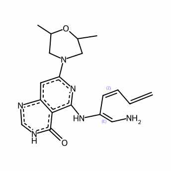 C=C/C=C\C(=C/N)Nc1nc(N2CC(C)OC(C)C2)cc2nc[nH]c(=O)c12